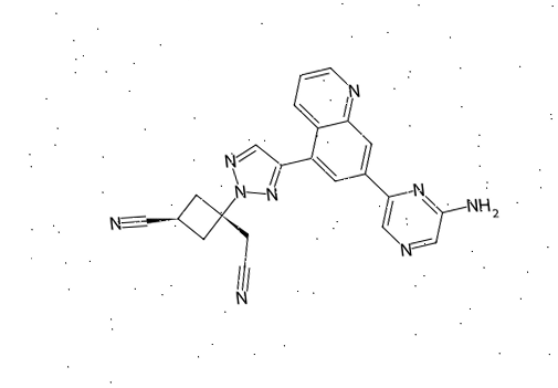 N#CC[C@]1(n2ncc(-c3cc(-c4cncc(N)n4)cc4ncccc34)n2)C[C@H](C#N)C1